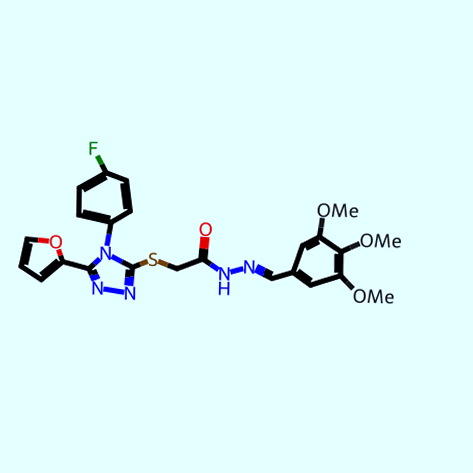 COc1cc(C=NNC(=O)CSc2nnc(-c3ccco3)n2-c2ccc(F)cc2)cc(OC)c1OC